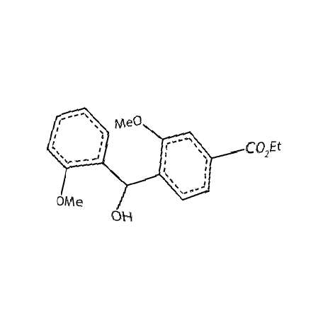 CCOC(=O)c1ccc(C(O)c2ccccc2OC)c(OC)c1